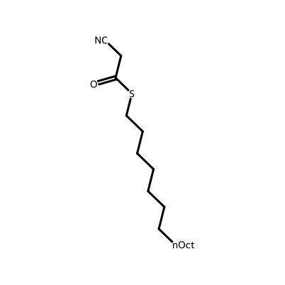 CCCCCCCCCCCCCCCSC(=O)CC#N